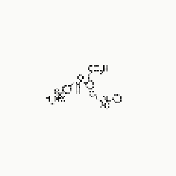 Cc1oc(-c2ccccc2)nc1CCOc1ccc(CCC(=O)O)c(C(=O)NCc2ccc(S(N)(=O)=O)cc2)c1